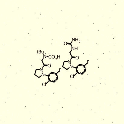 CC(C)(C)N(CC(=O)N1CCCN1c1cc(F)ccc1Cl)C(=O)O.NC(=O)NCC(=O)N1CCCN1c1cc(F)ccc1Cl